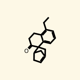 CCc1cccc2c1CCC(=O)C21CC2=CCC1C2